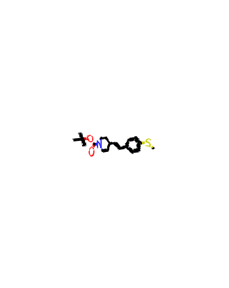 CSc1ccc(C=CC2CCN(C(=O)OC(C)(C)C)CC2)cc1